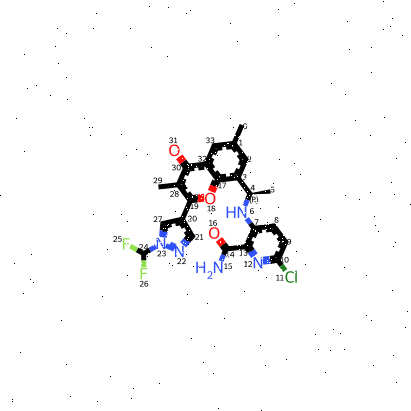 Cc1cc([C@@H](C)Nc2ccc(Cl)nc2C(N)=O)c2oc(-c3cnn(C(F)F)c3)c(C)c(=O)c2c1